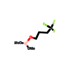 COB(OC)OCCC[Si](F)(F)F